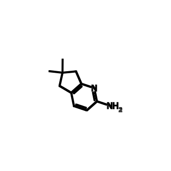 CC1(C)Cc2ccc(N)nc2C1